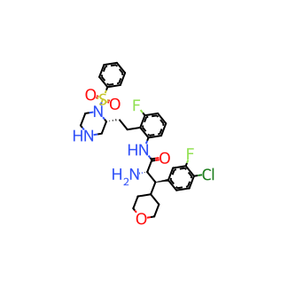 N[C@H](C(=O)Nc1cccc(F)c1CC[C@@H]1CNCCN1S(=O)(=O)c1ccccc1)[C@@H](c1ccc(Cl)c(F)c1)C1CCOCC1